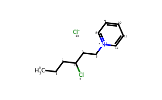 CCCC(Cl)CC[n+]1ccccc1.[Cl-]